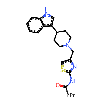 CCCC(=O)Nc1nc(CN2CCC(c3c[nH]c4ccccc34)CC2)cs1